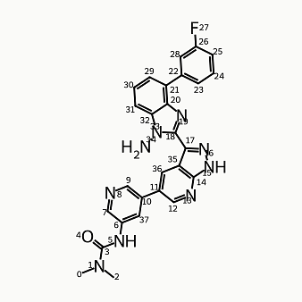 CN(C)C(=O)Nc1cncc(-c2cnc3[nH]nc(-c4nc5c(-c6cccc(F)c6)cccc5n4N)c3c2)c1